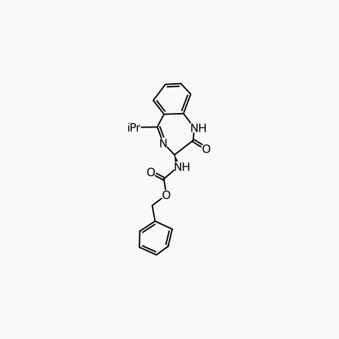 CC(C)C1=N[C@H](NC(=O)OCc2ccccc2)C(=O)Nc2ccccc21